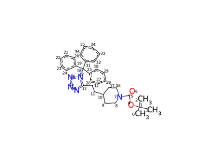 CC(C)(C)OC(=O)N1CCC(CCc2nnnn2C(c2ccccc2)(c2ccccc2)c2ccccc2)CC1